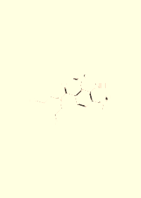 Nc1c([N+](=O)[O-])ccc(C(=O)N(CCCl)CCCl)c1[N+](=O)[O-]